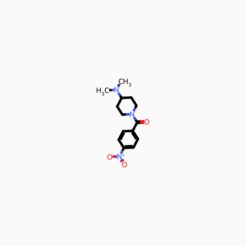 CN(C)C1CCN(C(=O)c2ccc([N+](=O)[O-])cc2)CC1